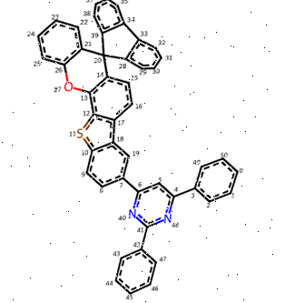 c1ccc(-c2cc(-c3ccc4sc5c6c(ccc5c4c3)C3(c4ccccc4O6)c4ccccc4-c4ccccc43)nc(-c3ccccc3)n2)cc1